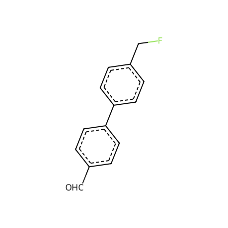 O=Cc1ccc(-c2ccc(CF)cc2)cc1